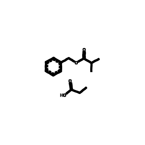 CC(C)C(=O)OCc1ccccc1.CCC(=O)O